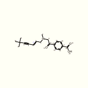 CN(C/C=C/C#CC(C)(C)C)CC(=O)c1ccc(C(=O)O)cc1